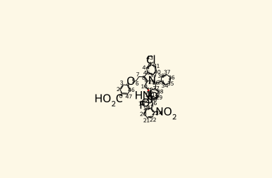 O=C(O)c1ccc(OCCc2c(CCNS(=O)(=O)Cc3c(F)cccc3[N+](=O)[O-])n(C(c3ccccc3)c3ccccc3)c3ccc(Cl)cc23)cc1